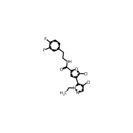 CCn1ncc(Cl)c1-c1cc(C(=O)NCCc2ccc(F)c(F)c2)oc1Cl